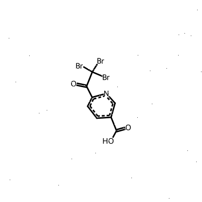 O=C(O)c1ccc(C(=O)C(Br)(Br)Br)nc1